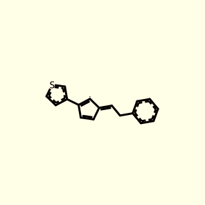 [C]1=C(c2ccsc2)C=CC1=CCc1ccccc1